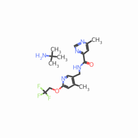 CC(C)(C)N.Cc1cc(C(=O)NCc2cnc(OCC(F)(F)F)cc2C)ncn1